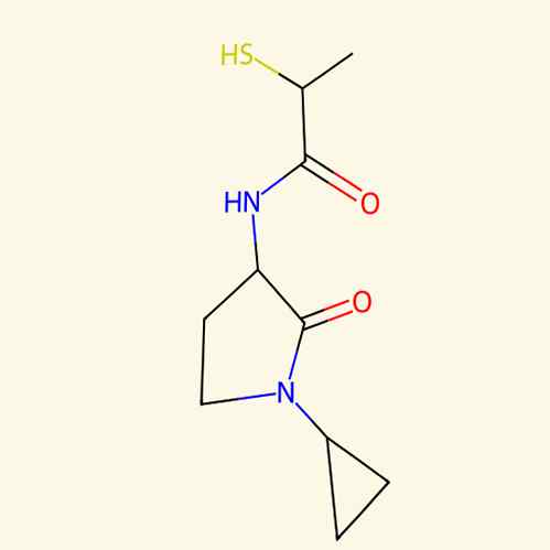 CC(S)C(=O)NC1CCN(C2CC2)C1=O